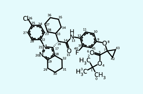 CC(C)(C)OC(=O)C1(Oc2ccc(NC(=O)[C@H](c3c4c(nn3-c3ccc(Cl)cc3)CCCC4)C3CCCCC3)c(F)c2)CC1